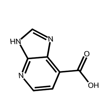 O=C(O)c1ccnc2[nH]cnc12